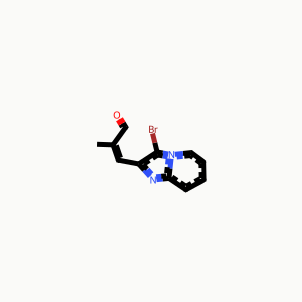 CC(C=O)=Cc1nc2ccccn2c1Br